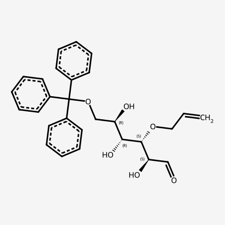 C=CCO[C@@H]([C@H](O)[C@H](O)COC(c1ccccc1)(c1ccccc1)c1ccccc1)[C@H](O)C=O